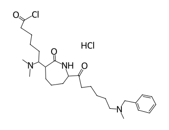 CN(CCCCCC(=O)C1CCCC(C(CCCCC(=O)Cl)N(C)C)C(=O)N1)Cc1ccccc1.Cl